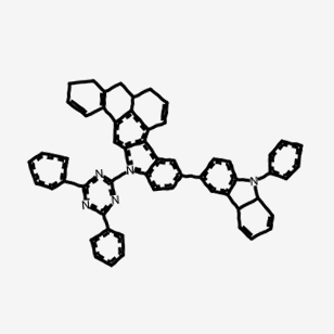 C1=CC2c3cc(-c4ccc5c(c4)c4c6c7c(cc4n5-c4nc(-c5ccccc5)nc(-c5ccccc5)n4)C4=C(CCC=C4)CC7CC=C6)ccc3N(c3ccccc3)C2C=C1